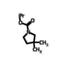 CC(C)OC(=O)N1CCC(C)(C)C1